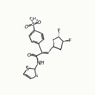 CS(=O)(=O)c1ccc(/C(=C\C2C[C@H](F)[C@@H](F)C2)C(=O)Nc2nccs2)cc1